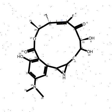 C[C@@H]1/C=C(/F)C(=O)[C@@H](O)C(O)CC2NC2c2cc(N(C)C)cc(O)c2C(=O)O[C@H]1C